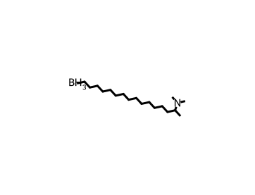 B.CCCCCCCCCCCCCCCC(C)N(C)C